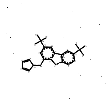 CC(C)(C)c1ccc2c(c1)-c1cc(C(C)(C)C)cc(CC3C=CC=C3)c1C2